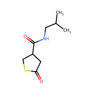 CC(C)CNC(=O)C1CSC(=O)C1